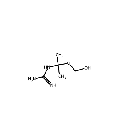 CC(C)(NC(=N)N)OCO